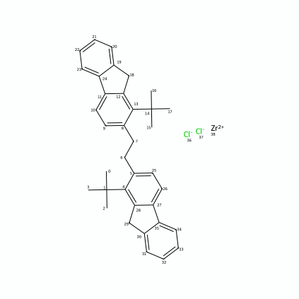 CC(C)(C)c1c(CCc2ccc3c(c2C(C)(C)C)Cc2ccccc2-3)ccc2c1Cc1ccccc1-2.[Cl-].[Cl-].[Zr+2]